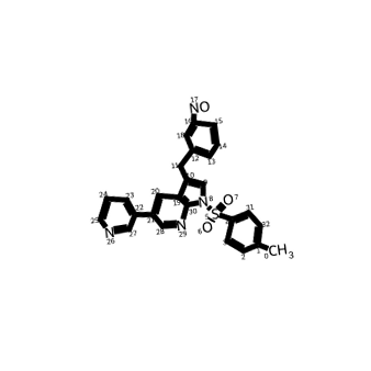 Cc1ccc(S(=O)(=O)n2cc(Cc3cccc(N=O)c3)c3cc(-c4cccnc4)cnc32)cc1